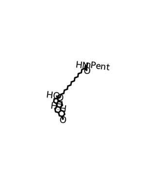 CCCCCNC(=O)CCCCCCCCCCCCCOC1(O)CC[C@H]2[C@@H]3CCC4CC(=O)CC[C@]4(C)[C@@H]3CC[C@@]21C